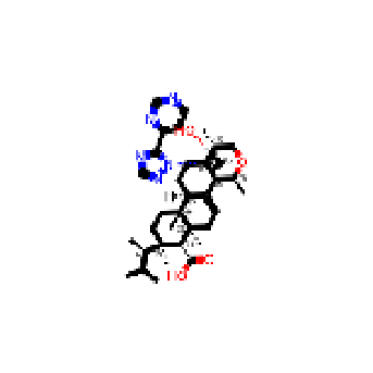 CC(C)[C@@H](C)[C@@]1(C)CC[C@]2(C)[C@H]3CC[C@H]4[C@@]5(C)CO[C@@H](C)[C@@]4(C[C@@H](n4ncnc4-c4ccncn4)[C@@H]5O)C3=CC[C@@]2(C)[C@@H]1C(=O)O